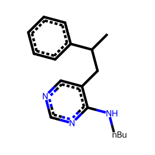 CCCCNc1ncncc1CC(C)c1ccccc1